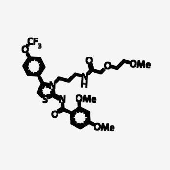 COCCOCC(=O)NCCCn1c(-c2ccc(OC(F)(F)F)cc2)cs/c1=N\C(=O)c1ccc(OC)cc1OC